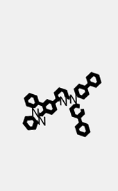 C=C(/C=C\C(=C/C)c1ccccc1)N(c1ccc(-c2ccccc2)cc1)c1cccc(-c2ccc3c(c2)c2ccccc2n2c4ccccc4nc32)n1